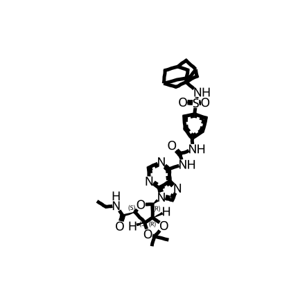 CCNC(=O)[C@H]1O[C@@H](n2cnc3c(NC(=O)Nc4ccc(S(=O)(=O)NC56CC7CC(CC(C7)C5)C6)cc4)ncnc32)[C@@H]2OC(C)(C)O[C@@H]21